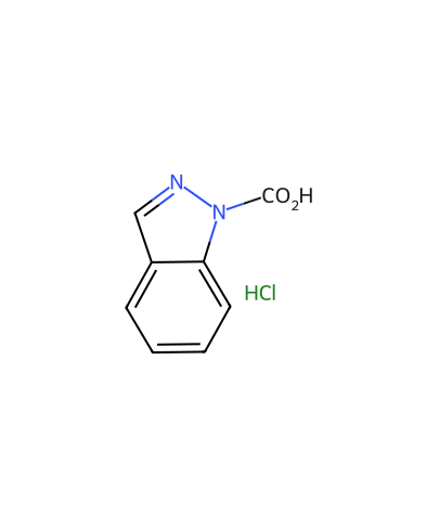 Cl.O=C(O)n1ncc2ccccc21